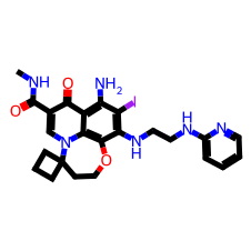 CNC(=O)c1cn2c3c(c(NCCNc4ccccn4)c(I)c(N)c3c1=O)OCCC21CCC1